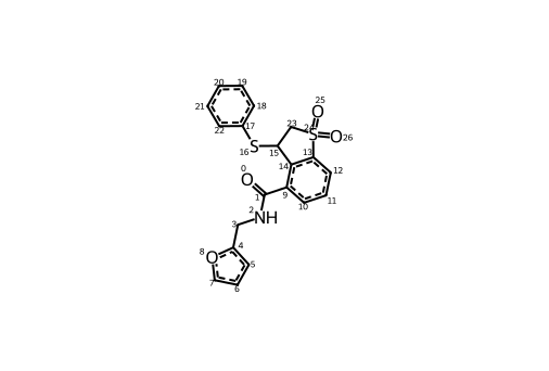 O=C(NCc1ccco1)c1cccc2c1C(Sc1ccccc1)CS2(=O)=O